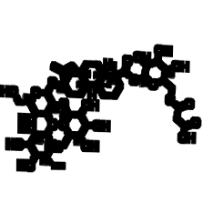 C=C1C[C@@]23CC[C@H]4[C@@](C)(CCC[C@@]4(C)C(=O)O[C@@H]4OC(COC(=O)CC(=O)O)[C@@H](O)C(O)C4O)[C@@H]2CC[C@]1(OC1O[C@H](CO)C(O)C(OC2O[C@H](CC)C(O)C(O)[C@H]2O)[C@H]1O[C@@H]1OC(CO)[C@@H](O)C(O)C1O)C3